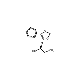 C1=COCO1.CCC(=O)O.c1ccccc1